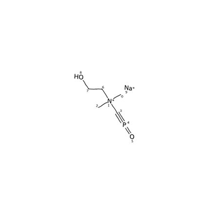 C[N+](C)(C#P=O)CCO.[Na+]